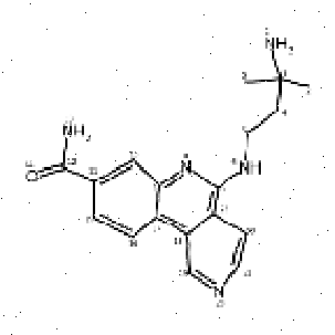 CC(C)(N)CCNc1nc2cc(C(N)=O)ccc2c2cnccc12